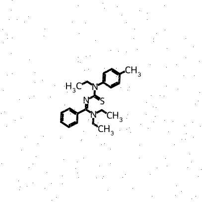 CCN(CC)C(=NC(=S)N(CC)c1ccc(C)cc1)c1ccccc1